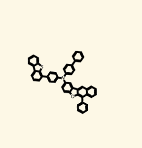 c1ccc(-c2ccc(N(c3ccc(-c4cccc5c4sc4ccccc45)cc3)c3ccc4oc5c(-c6ccccc6)c6ccccc6cc5c4c3)cc2)cc1